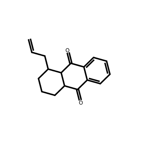 C=CCC1CCCC2C(=O)c3ccccc3C(=O)C12